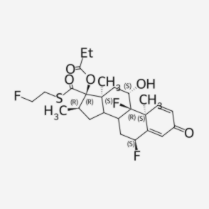 CCC(=O)O[C@]1(C(=O)SCCF)[C@H](C)CC2C3C[C@H](F)C4=CC(=O)C=C[C@]4(C)[C@@]3(F)[C@@H](O)C[C@@]21C